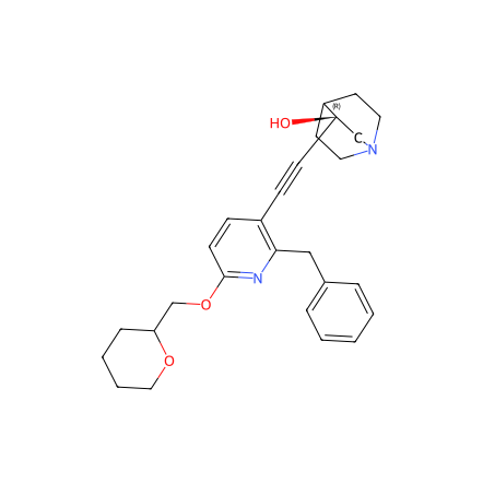 O[C@]1(C#Cc2ccc(OCC3CCCCO3)nc2Cc2ccccc2)CN2CCC1CC2